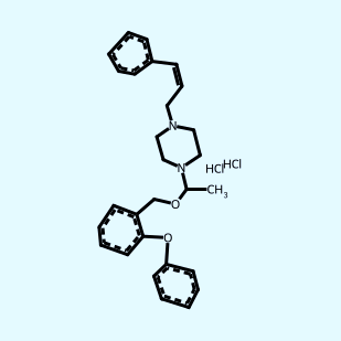 CC(OCc1ccccc1Oc1ccccc1)N1CCN(C/C=C\c2ccccc2)CC1.Cl.Cl